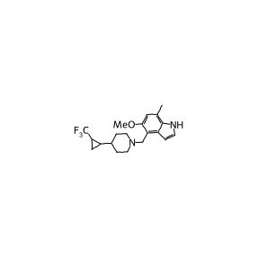 COc1cc(C)c2[nH]ccc2c1CN1CCC(C2CC2C(F)(F)F)CC1